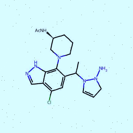 CC(=O)N[C@H]1CCCN(c2c(C(C)N3C=CCN3N)cc(Cl)c3cn[nH]c23)C1